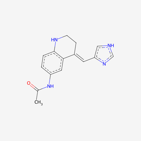 CC(=O)Nc1ccc2c(c1)/C(=C/c1c[nH]cn1)CCN2